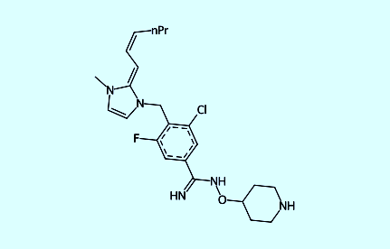 CCC/C=C\C=C1/N(C)C=CN1Cc1c(F)cc(C(=N)NOC2CCNCC2)cc1Cl